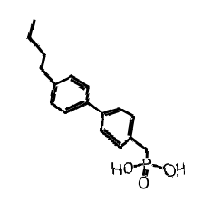 CCCCc1ccc(-c2ccc(CP(=O)(O)O)cc2)cc1